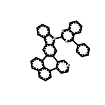 c1ccc(-c2nc(-n3c4ccccc4c4cc5c(cc43)-c3cnccc3-c3cccc4cccc-5c34)nc3ccccc23)cc1